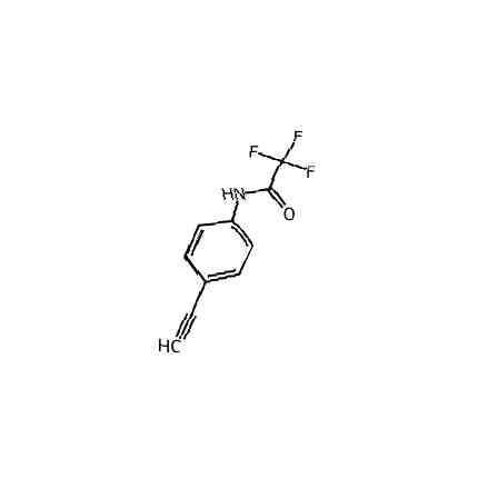 C#Cc1ccc(NC(=O)C(F)(F)F)cc1